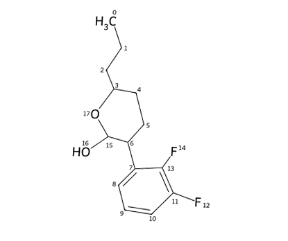 CCCC1CCC(c2cccc(F)c2F)C(O)O1